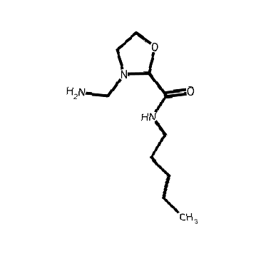 CCCCCNC(=O)C1OCCN1CN